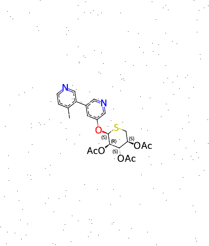 CC(=O)O[C@@H]1[C@@H](OC(C)=O)[C@@H](Oc2cncc(-c3cnccc3C)c2)SC[C@H]1OC(C)=O